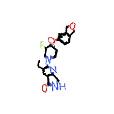 CCc1cc2c(nc1N1CC[C@@H](Oc3ccc4c(c3)COC4)C(F)C1)CNC2=O